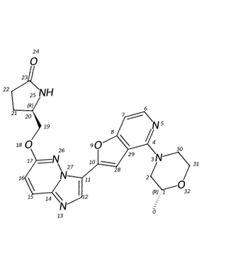 C[C@@H]1CN(c2nccc3oc(-c4cnc5ccc(OC[C@H]6CCC(=O)N6)nn45)cc23)CCO1